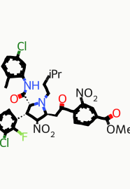 COC(=O)c1ccc(C(=O)C[C@H]2[C@@H]([N+](=O)[O-])[C@H](c3cccc(Cl)c3F)[C@H](C(=O)Nc3cc(Cl)ccc3C)N2CCC(C)C)c([N+](=O)[O-])c1